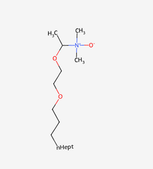 CCCCCCCCCCOCCOC(C)[N+](C)(C)[O-]